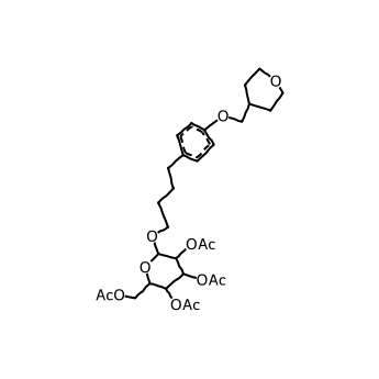 CC(=O)OCC1OC(OCCCCc2ccc(OCC3CCOCC3)cc2)C(OC(C)=O)C(OC(C)=O)C1OC(C)=O